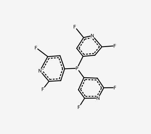 Fc1cc(P(c2cc(F)nc(F)c2)c2cc(F)nc(F)c2)cc(F)n1